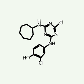 Oc1ccc(Nc2nc(Cl)nc(NC3CCCCCC3)n2)cc1Cl